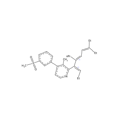 CC/C=C(/C(=C/C=C(CC)CC)CCC)c1nccc(-c2cccc(S(C)(=O)=O)c2)c1C